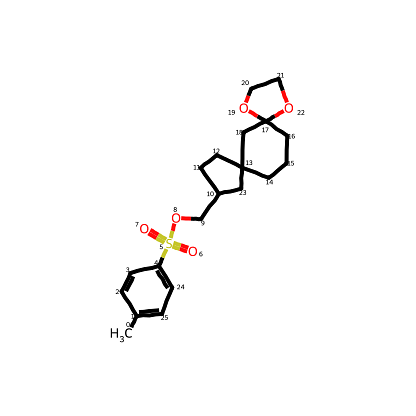 Cc1ccc(S(=O)(=O)OCC2CCC3(CCCC4(C3)OCCO4)C2)cc1